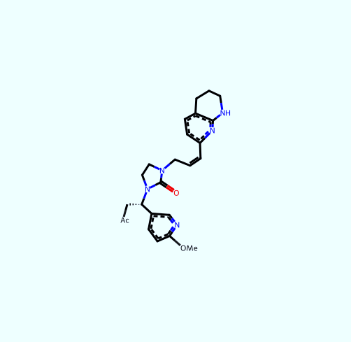 COc1ccc([C@H](CC(C)=O)N2CCN(C/C=C\c3ccc4c(n3)NCCC4)C2=O)cn1